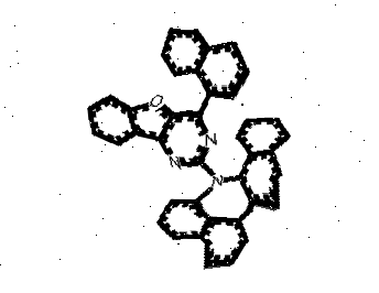 c1ccc2c(-c3nc(N4c5c(ccc6ccccc56)-c5cccc6cccc4c56)nc4c3oc3ccccc34)cccc2c1